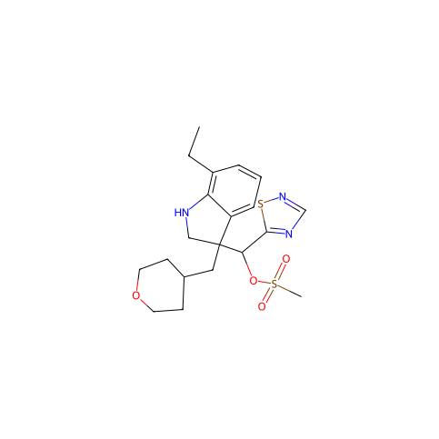 CCc1cccc2c1NCC2(CC1CCOCC1)C(OS(C)(=O)=O)c1ncns1